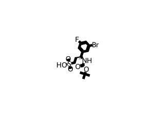 CC(C)(C)OC(=O)N[C@@H](CCS(=O)(=O)O)c1cc(F)cc(Br)c1